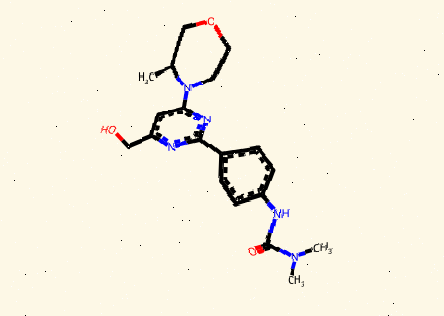 C[C@H]1COCCN1c1cc(CO)nc(-c2ccc(NC(=O)N(C)C)cc2)n1